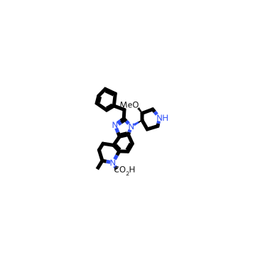 CO[C@H]1CNCC[C@H]1n1c(Cc2ccccc2)nc2c3c(ccc21)N(C(=O)O)C(C)CC3